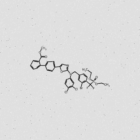 CCOP(=O)(OCC)C(F)(F)c1ccc(CN(c2ccc(Cl)c(Cl)c2)c2ncc(-c3ccc(-c4ccccc4C(=O)OC)cc3)o2)cc1Br